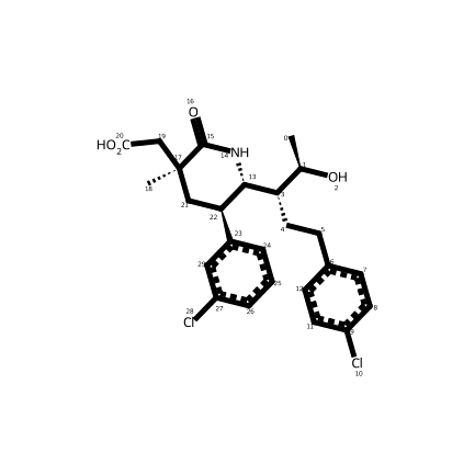 C[C@@H](O)[C@H](CCc1ccc(Cl)cc1)[C@H]1NC(=O)[C@](C)(CC(=O)O)C[C@@H]1c1cccc(Cl)c1